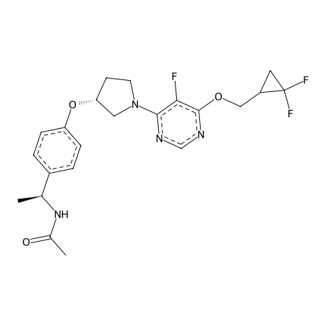 CC(=O)N[C@@H](C)c1ccc(O[C@@H]2CCN(c3ncnc(OCC4CC4(F)F)c3F)C2)cc1